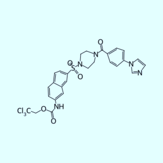 O=C(Nc1ccc2ccc(S(=O)(=O)N3CCN(C(=O)c4ccc(-n5ccnc5)cc4)CC3)cc2c1)OCC(Cl)(Cl)Cl